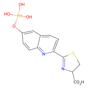 O=C(O)C1CSC(c2ccc3cc(O[PH](O)(O)O)ccc3n2)=N1